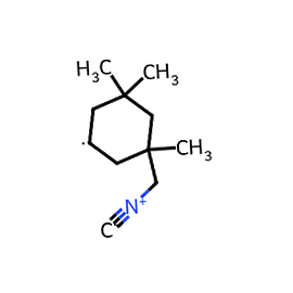 [C-]#[N+]CC1(C)C[CH]CC(C)(C)C1